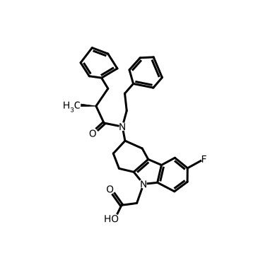 C[C@@H](Cc1ccccc1)C(=O)N(CCc1ccccc1)C1CCc2c(c3cc(F)ccc3n2CC(=O)O)C1